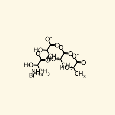 CC(O)C(=O)[O-].CC(O)C(=O)[O-].CC(O)C(=O)[O-].CC(O)C(=O)[O-].[Bi+3].[NH4+]